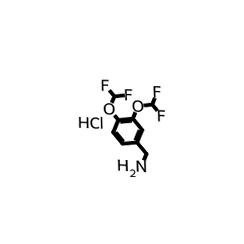 Cl.NCc1ccc(OC(F)F)c(OC(F)F)c1